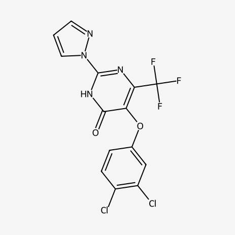 O=c1[nH]c(-n2cccn2)nc(C(F)(F)F)c1Oc1ccc(Cl)c(Cl)c1